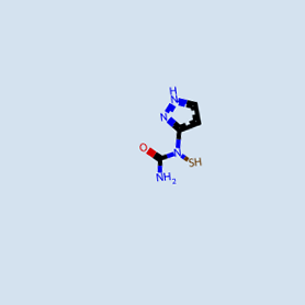 NC(=O)N(S)c1cc[nH]n1